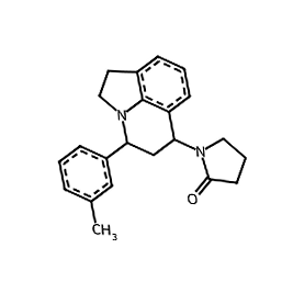 Cc1cccc(C2CC(N3CCCC3=O)c3cccc4c3N2CC4)c1